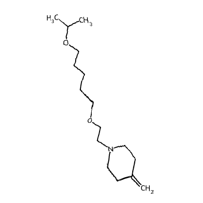 C=C1CCN(CCOCCCCCOC(C)C)CC1